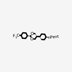 CCCCC[C@H]1CC[C@H]([C@H]2CO[C@H](C3CCC(C(F)(F)F)CC3)OC2)CC1